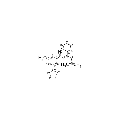 Cc1cc(-c2cc(CC(C)C)c3ccccc3n2)cc(C2CCCC2)c1